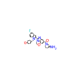 COc1ccc(Cn2c(-c3nc4cc(C(=O)N5CCC[C@@H](N)C5)cc5c4n3CCO5)cc3cc(F)ccc32)cc1